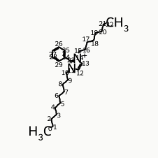 CCCCCCCCCCCn1cc[n+](CCCCCCCC)c1-c1ccccc1